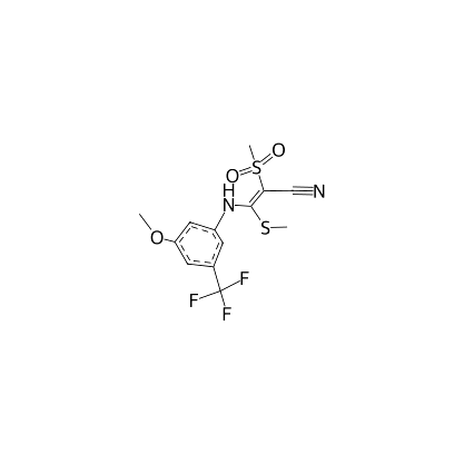 COc1cc(N/C(SC)=C(/C#N)S(C)(=O)=O)cc(C(F)(F)F)c1